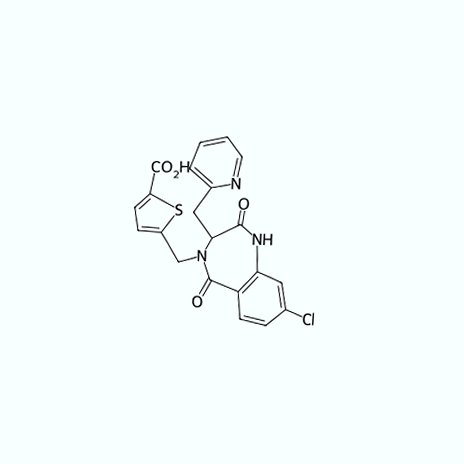 O=C(O)c1ccc(CN2C(=O)c3ccc(Cl)cc3NC(=O)C2Cc2ccccn2)s1